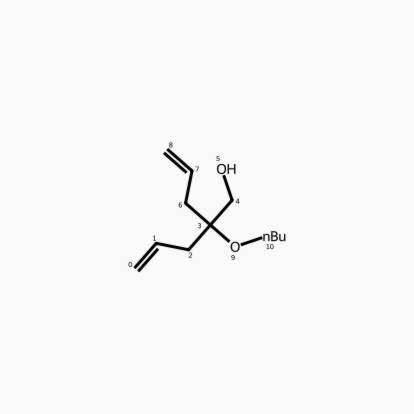 C=CCC(CO)(CC=C)OCCCC